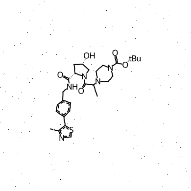 Cc1ncsc1-c1ccc(CNC(=O)[C@@H]2C[C@H](O)CN2C(=O)C(C)N2CCN(C(=O)OC(C)(C)C)CC2)cc1